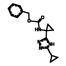 O=C(NC1(c2nnc(C3CC3)[nH]2)CC1)OCc1ccccc1